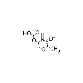 CC1OCC(OC(=O)O)N[S+]1[O-]